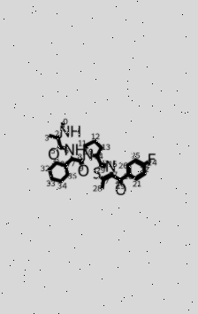 CNC(C)C(=O)N[C@H](C(=O)N1CCCC1c1nc(C(=O)c2ccc(F)cc2)c(C)s1)C1CCCCC1